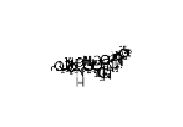 COCc1cc(NC2=CC(c3ccnc(-n4ccn5c6c(cc5c4=O)CCC6)c3CO)=CN(C)C2O)nn1C